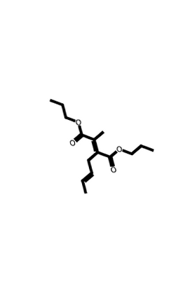 CC=CCC(C(=O)OCCC)=C(C)C(=O)OCCC